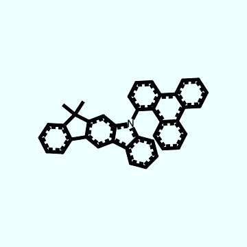 CC1(C)c2ccccc2-c2cc3c4ccccc4n(-c4cccc5c6ccccc6c6ccccc6c45)c3cc21